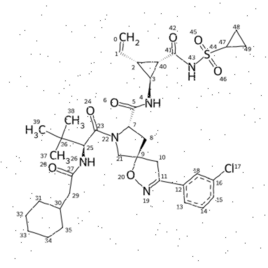 C=C[C@H]1[C@H](NC(=O)[C@@H]2C[C@]3(CC(c4cccc(Cl)c4)=NO3)CN2C(=O)[C@@H](NC(=O)CC2CCCCC2)C(C)(C)C)[C@H]1C(=O)NS(=O)(=O)C1CC1